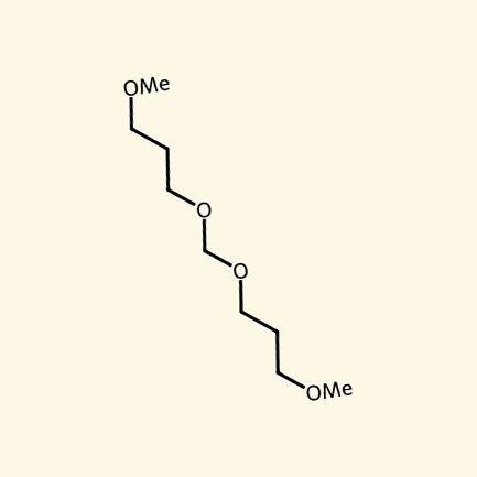 COCCCOCOCCCOC